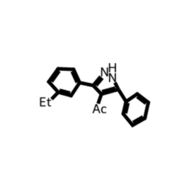 CCc1cccc(-c2n[nH]c(-c3ccccc3)c2C(C)=O)c1